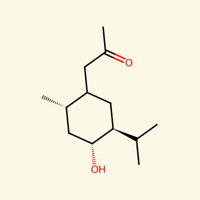 CC(=O)CC1C[C@@H](C(C)C)[C@H](O)C[C@@H]1C